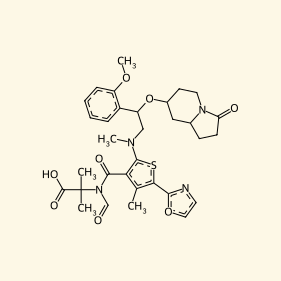 COc1ccccc1C(CN(C)c1sc(-c2ncco2)c(C)c1C(=O)N(C=O)C(C)(C)C(=O)O)OC1CCN2C(=O)CCC2C1